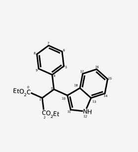 CCOC(=O)C(C(=O)OCC)C(c1ccccc1)c1c[nH]c2ccccc12